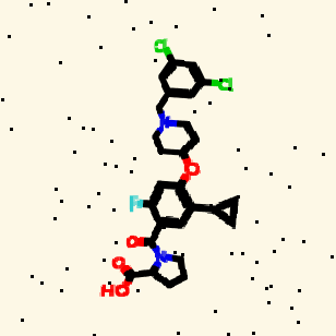 O=C(O)C1CCCN1C(=O)c1cc(C2CC2)c(OC2CCN(Cc3cc(Cl)cc(Cl)c3)CC2)cc1F